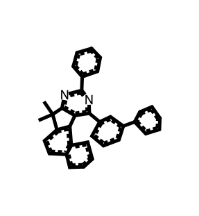 CC1(C)c2ccc3ccccc3c2-c2c(-c3cccc(-c4ccccc4)c3)nc(-c3ccccc3)nc21